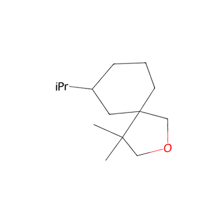 CC(C)C1CCCC2(COCC2(C)C)C1